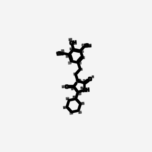 CC(C)(C)c1cc(CCN2C(=O)NC(C3CCCCC3)C2=O)cc(C(C)(C)C)c1O